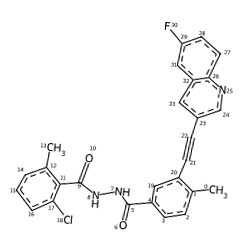 Cc1ccc(C(=O)NNC(=O)c2c(C)cccc2Cl)cc1C#Cc1cnc2ccc(F)cc2c1